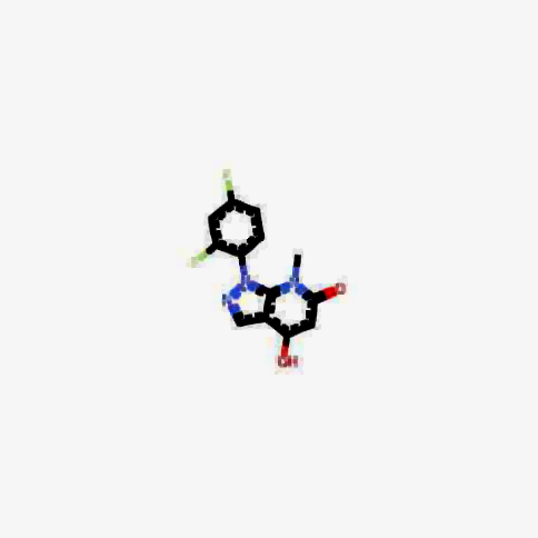 Cn1c(=O)cc(O)c2cnn(-c3ccc(F)cc3F)c21